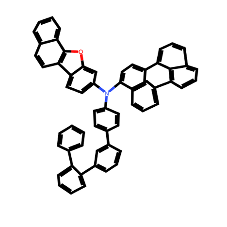 c1ccc(-c2ccccc2-c2cccc(-c3ccc(N(c4ccc(-c5cccc6cccc(-c7ccccc7)c56)cc4)c4ccc5c(c4)oc4c6ccccc6ccc54)cc3)c2)cc1